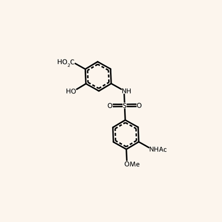 COc1ccc(S(=O)(=O)Nc2ccc(C(=O)O)c(O)c2)cc1NC(C)=O